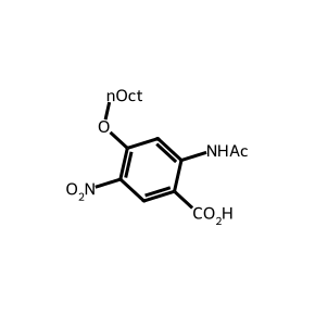 CCCCCCCCOc1cc(NC(C)=O)c(C(=O)O)cc1[N+](=O)[O-]